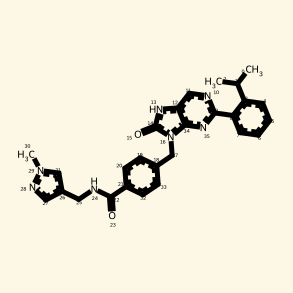 CC(C)c1ccccc1-c1ncc2[nH]c(=O)n(Cc3ccc(C(=O)NCc4cnn(C)c4)cc3)c2n1